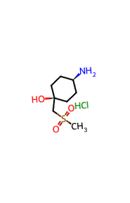 CS(=O)(=O)C[C@]1(O)CC[C@@H](N)CC1.Cl